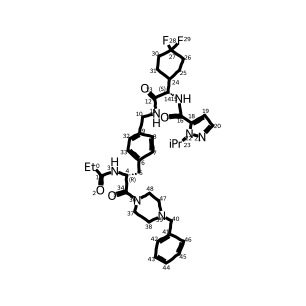 CCC(=O)N[C@H](Cc1ccc(CNC(=O)[C@@H](NC(=O)c2ccnn2C(C)C)C2CCC(F)(F)CC2)cc1)C(=O)N1CCN(Cc2ccccc2)CC1